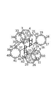 Cc1ccccc1[PH](c1ccccc1C)(c1ccccc1C)[PH](c1ccccc1C)(c1ccccc1C)c1ccccc1C